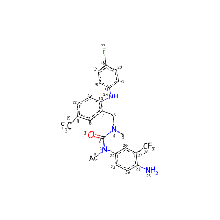 CC(=O)N(C(=O)N(C)Cc1cc(C(F)(F)F)ccc1Nc1ccc(F)cc1)c1ccc(N)c(C(F)(F)F)c1